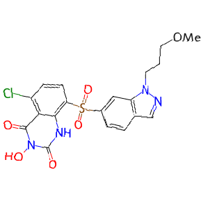 COCCCn1ncc2ccc(S(=O)(=O)c3ccc(Cl)c4c(=O)n(O)c(=O)[nH]c34)cc21